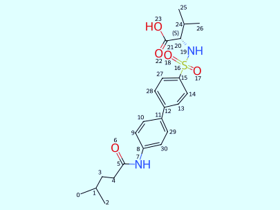 CC(C)CCC(=O)Nc1ccc(-c2ccc(S(=O)(=O)N[C@H](C(=O)O)C(C)C)cc2)cc1